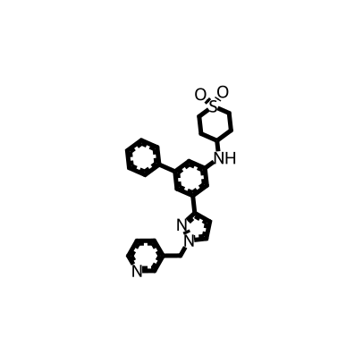 O=S1(=O)CCC(Nc2cc(-c3ccccc3)cc(-c3ccn(Cc4cccnc4)n3)c2)CC1